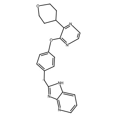 [C](c1ccc(Oc2nccnc2C2CCOCC2)cc1)c1nc2ncccc2[nH]1